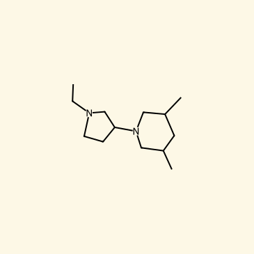 CCN1CCC(N2CC(C)CC(C)C2)C1